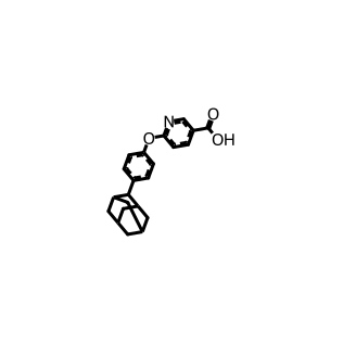 O=C(O)c1ccc(Oc2ccc(C3C4CC5CC(C4)CC3C5)cc2)nc1